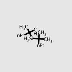 CCCC(C)(C)[SiH2]C(C)(C)CCC